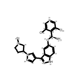 CCN1CCC(n2cc(-c3n[nH]c4ccc(O[C@H](N)c5c(Cl)cncc5Cl)cc34)cn2)C1